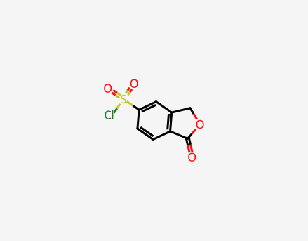 O=C1OCc2cc(S(=O)(=O)Cl)ccc21